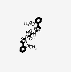 COc1ccccc1-c1csc(NC(=O)C(=O)Nc2nc(-c3ccccc3OC)cs2)n1